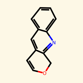 C1=Cc2cc3ccccc3nc2CO1